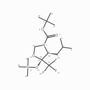 CC(C)C[C@@H]1N(C(=O)OC(C)(C)C)CO[C@@]1(O[Si](C)(C)C)C(F)(F)F